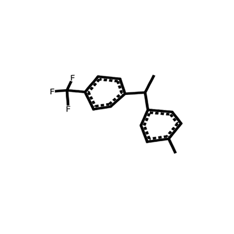 Cc1ccc(C(C)c2ccc(C(F)(F)F)cc2)cc1